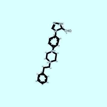 O=CC1NN=CN1c1ccc(N2CCN(CCc3ccccc3)CC2)cc1